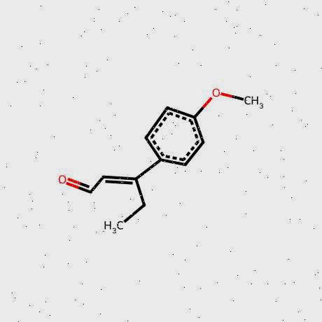 CC/C(=C\C=O)c1ccc(OC)cc1